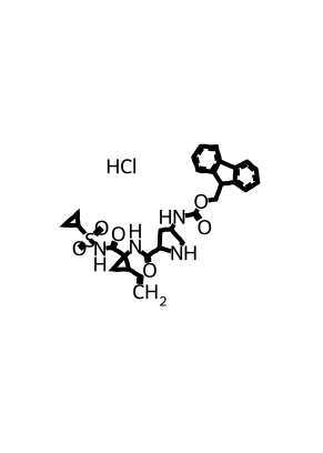 C=CC1CC1(NC(=O)C1CC(NC(=O)OCC2c3ccccc3-c3ccccc32)CN1)C(=O)NS(=O)(=O)C1CC1.Cl